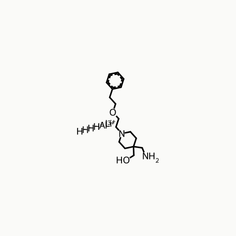 NCC1(CO)CCN(CCOCCc2ccccc2)CC1.[Al+3].[H-].[H-].[H-].[H-].[Li+]